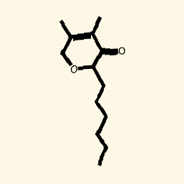 CCCCCCC1OCC(C)=C(C)C1=O